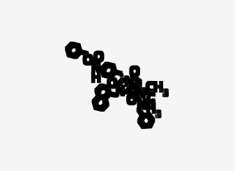 CC(C)N(C(=O)NCc1ccccc1)N1CC(=O)N2[C@@H](Cc3ccc(NC(=O)OCc4ccccc4)cc3)C(=O)N(Cc3cccc4ccccc34)C[C@@H]21